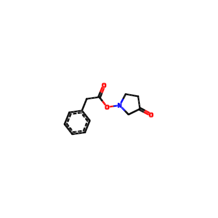 O=C1CCN(OC(=O)Cc2ccccc2)C1